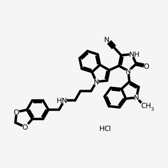 Cl.Cn1cc(-n2c(-c3cn(CCCNCc4ccc5c(c4)OCO5)c4ccccc34)c(C#N)[nH]c2=O)c2ccccc21